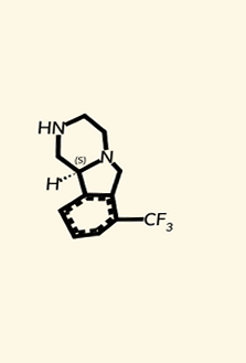 FC(F)(F)c1cccc2c1CN1CCNC[C@H]21